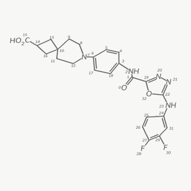 O=C(Nc1ccc(N2CCC3(CC2)CC(C(=O)O)C3)cc1)c1nnc(Nc2ccc(F)c(F)c2)o1